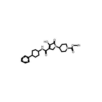 CC(C)OC(=O)N1CCC(N2CC(C(=O)NC3CCC(c4ccccc4)CC3)=C(O)C2=O)CC1